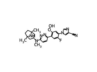 CN(c1ccc(-c2cc(F)c(-n3cnc(C#N)c3)cc2OO)nn1)[C@H]1C[C@]2(C)CC[C@](C)(C1)N2